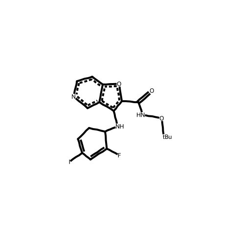 CC(C)(C)ONC(=O)c1oc2ccncc2c1NC1CC=C(I)C=C1F